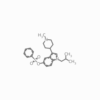 CC(C)Cn1cc(C2CCN(C)CC2)c2cc(OS(=O)(=O)c3ccccc3)ccc21